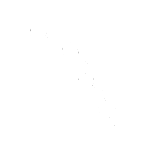 COc1ccc(-c2cnc3c(Nc4ccc(S(=O)(=O)N5CCOCC5)cc4)nccn23)cc1